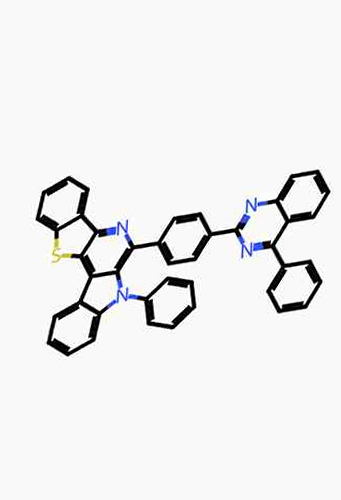 c1ccc(-c2nc(-c3ccc(-c4nc5c6ccccc6sc5c5c6ccccc6n(-c6ccccc6)c45)cc3)nc3ccccc23)cc1